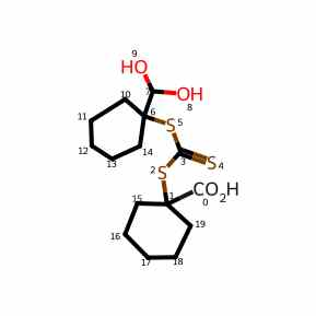 O=C(O)C1(SC(=S)SC2(C(O)O)CCCCC2)CCCCC1